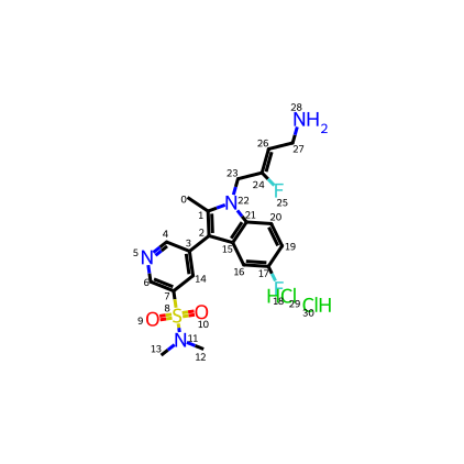 Cc1c(-c2cncc(S(=O)(=O)N(C)C)c2)c2cc(F)ccc2n1C/C(F)=C/CN.Cl.Cl